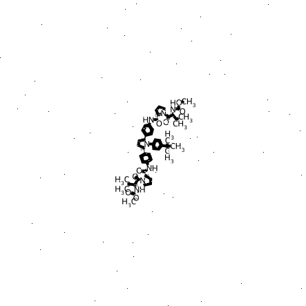 COC(=O)N[C@H](C(=O)N1CCC[C@H]1C(=O)Nc1ccc([C@@H]2CC[C@@H](c3ccc(NC(=O)[C@@H]4CCCN4C(=O)[C@@H](NC(=O)OC)C(C)C)cc3)N2c2ccc(C(C)(C)C)cc2)cc1)C(C)C